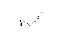 CC(C)OCC(=O)NCCN(C)CCNC(=O)C1(C(C)C)CC1